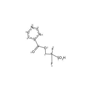 O=C(OCC(F)(F)S(=O)(=O)O)c1ccncn1